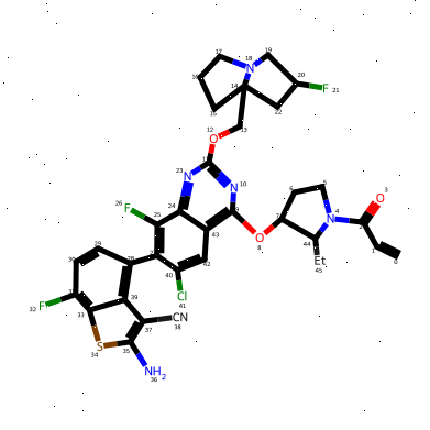 C=CC(=O)N1CCC(Oc2nc(OCC34CCCN3CC(F)C4)nc3c(F)c(-c4ccc(F)c5sc(N)c(C#N)c45)c(Cl)cc23)C1CC